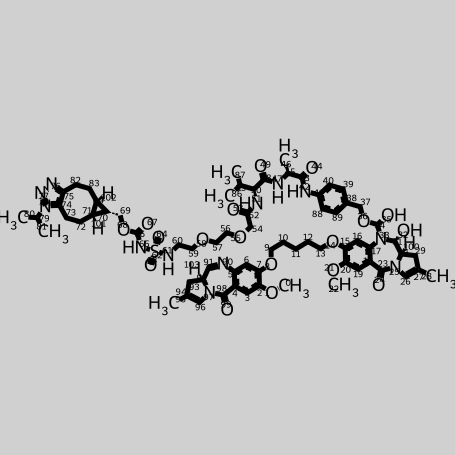 COc1cc2c(cc1OCCCCCOc1cc3c(cc1OC)C(=O)N1C=C(C)C[C@H]1[C@H](O)N3C(O)OCc1ccc(NC(=O)[C@H](C)NC(=O)[C@@H](NC(=O)COCCOCCNS(=O)(=O)NC(=O)OC[C@@H]3[C@@H]4CCc5c(nnn5C(C)C)CC[C@@H]43)C(C)C)cc1)N=C[C@@H]1CC(C)=CN1C2=O